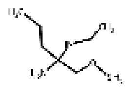 CCCC(N)(CO[SiH3])NCC